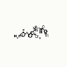 CCn1ccc(C(=O)NCc2nc(-c3cc4c(/N=C5\CCN(C)C[C@@H]5F)cccc4n3CC(F)(F)F)no2)c1